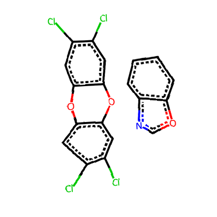 Clc1cc2c(cc1Cl)Oc1cc(Cl)c(Cl)cc1O2.c1ccc2ocnc2c1